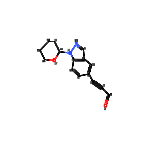 O=CC#Cc1ccc2c(cnn2C2CCCCO2)c1